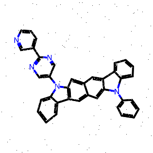 c1ccc(-n2c3ccccc3c3cc4cc5c(cc4cc32)c2ccccc2n5-c2cnc(-c3cccnc3)nc2)cc1